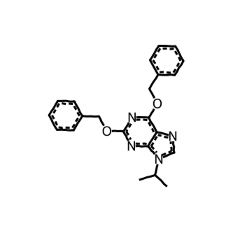 CC(C)n1cnc2c(OCc3ccccc3)nc(OCc3ccccc3)nc21